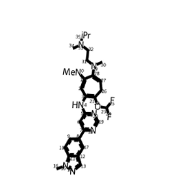 CNC1=CC(Nc2cc(-c3ccc4c(cnn4C)c3)ncn2)=C(OC(F)F)CC=C1N(C)CCN(C)C(C)C